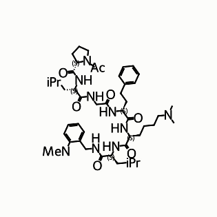 CNc1ccccc1CNC(=O)[C@H](CC(C)C)NC(=O)[C@H](CCCCN(C)C)NC(=O)[C@H](CCc1ccccc1)NC(=O)CNC(=O)[C@H](CC(C)C)NC(=O)[C@@H]1CCCN1C(C)=O